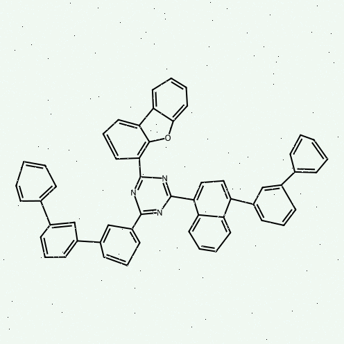 c1ccc(-c2cccc(-c3cccc(-c4nc(-c5ccc(-c6cccc(-c7ccccc7)c6)c6ccccc56)nc(-c5cccc6c5oc5ccccc56)n4)c3)c2)cc1